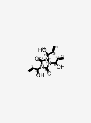 C=CC(O)n1c(=O)n(C(O)C=C)n(C(O)C=C)c1=O